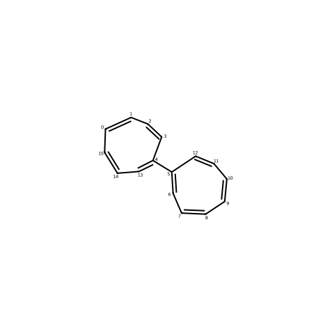 C1=CC=CC(C2=CC=CC=CC=C2)=CC=C1